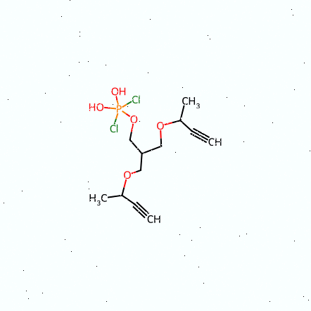 C#CC(C)OCC(COC(C)C#C)COP(O)(O)(Cl)Cl